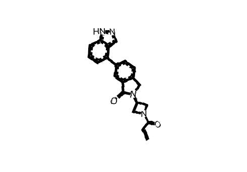 C=CC(=O)N1CC(N2Cc3ccc(-c4cccc5[nH]ncc45)cc3C2=O)C1